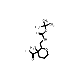 CC(C)(C)OC(=O)NCC1OCCCC1(N)C(=O)O